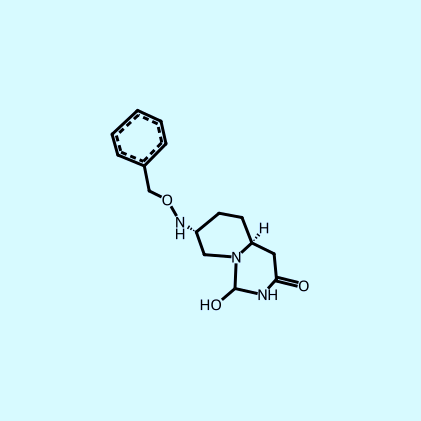 O=C1C[C@@H]2CC[C@@H](NOCc3ccccc3)CN2C(O)N1